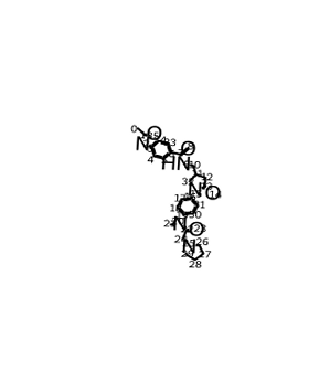 Cc1nc2ccc(C(=O)NCC3CC(=O)N(c4ccc(N(C)C(=O)CN5CCCC5)cc4)C3)cc2o1